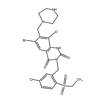 CCS(=O)(=O)c1ccc(Cl)cc1Cn1c(=O)[nH]c2c(Cl)c(CN3CCNCC3)c(Br)cc2c1=O